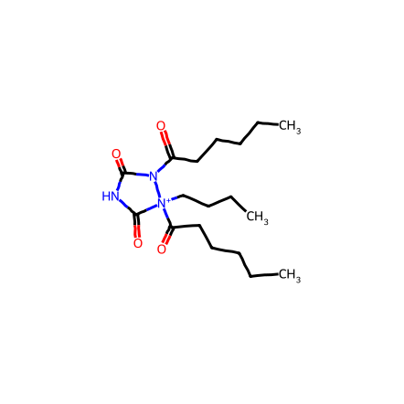 CCCCCC(=O)N1C(=O)NC(=O)[N+]1(CCCC)C(=O)CCCCC